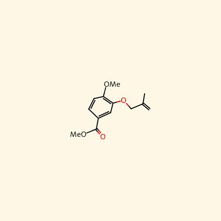 C=C(C)COc1cc(C(=O)OC)ccc1OC